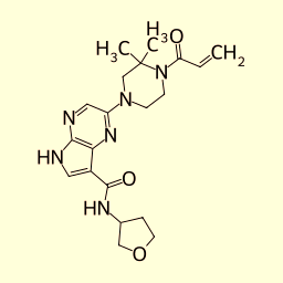 C=CC(=O)N1CCN(c2cnc3[nH]cc(C(=O)NC4CCOC4)c3n2)CC1(C)C